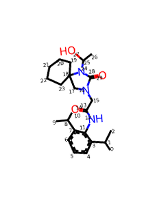 CC(C)c1cccc(C(C)C)c1NC(=O)CN1CC2(CCCCC2)N(C(C)O)C1=O